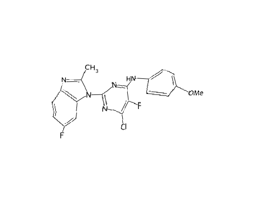 COc1ccc(Nc2nc(-n3c(C)nc4ccc(F)cc43)nc(Cl)c2F)cc1